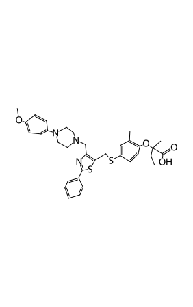 CCC(C)(Oc1ccc(SCc2sc(-c3ccccc3)nc2CN2CCN(c3ccc(OC)cc3)CC2)cc1C)C(=O)O